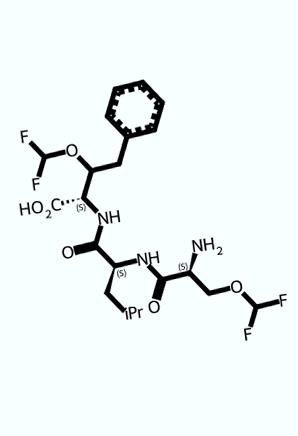 CC(C)C[C@H](NC(=O)[C@@H](N)COC(F)F)C(=O)N[C@H](C(=O)O)C(Cc1ccccc1)OC(F)F